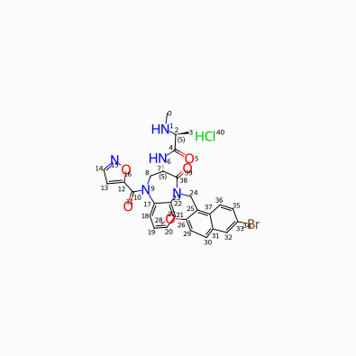 CN[C@@H](C)C(=O)N[C@H]1CN(C(=O)c2ccno2)c2ccccc2N(Cc2c(OC)ccc3cc(Br)ccc23)C1=O.Cl